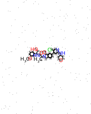 COc1cccc(C(CO)NC(=O)C(C)N2Cc3ccc(-c4cc(NC5CCOCC5)ncc4Cl)cc3C2=O)c1